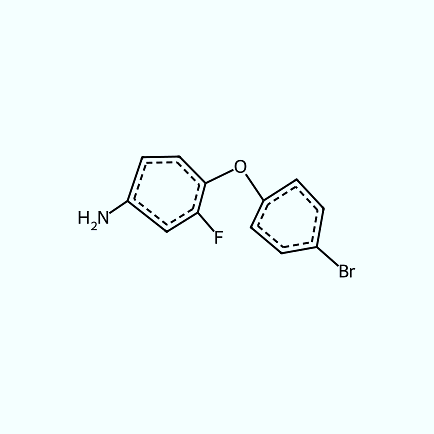 Nc1ccc(Oc2ccc(Br)cc2)c(F)c1